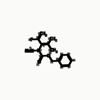 C=C(F)C(=C(C)C)N(NC)C(=O)OCc1ccccc1